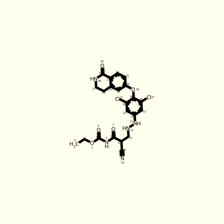 CCOC(=O)NC(=O)C(C#N)CNNc1cc(Cl)c(Oc2ccc3c(c2)CCNC3=O)c(Cl)c1